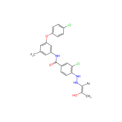 CC(=O)/C(NNc1ccc(C(=O)Nc2cc(Oc3ccc(Cl)cc3)cc(C(F)(F)F)c2)cc1Cl)=C(\C)O